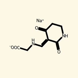 O=C([O-])CN/C=C1\C(=O)CCNC1=O.[Na+]